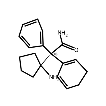 NC(=O)[C@@](C1=CCCC=C1)(c1ccccc1)C1(N)CCCC1